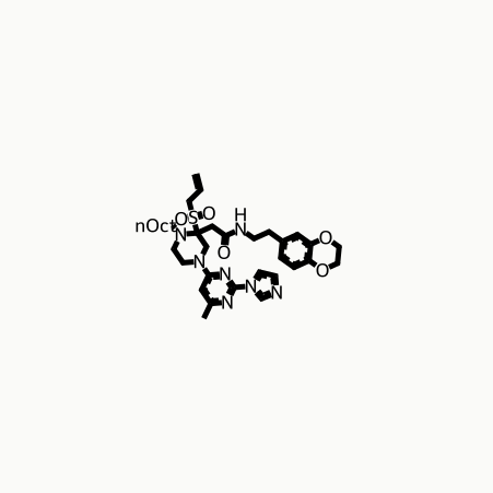 C=CCS(=O)(=O)C1(CC(=O)NCCc2ccc3c(c2)OCCO3)CN(c2cc(C)nc(-n3ccnc3)n2)CCN1CCCCCCCC